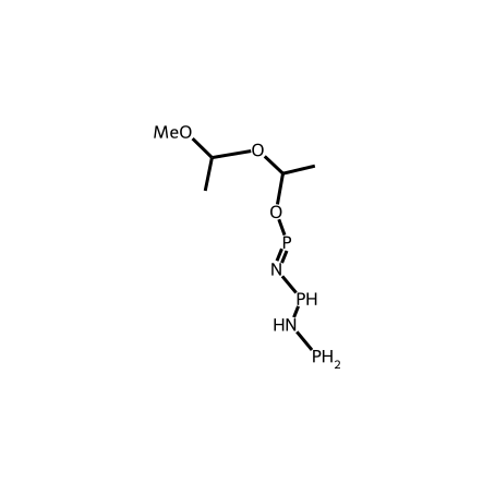 COC(C)OC(C)OP=NPNP